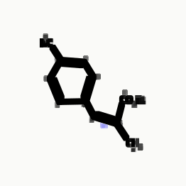 CCOC(=O)/C(C)=C\c1ccc(C#N)cc1